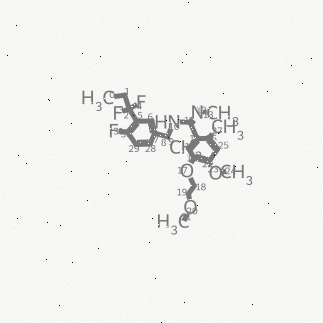 CCC(F)(F)c1cc([C@@H](C)N/C(=N/C)c2cc(OCCOC)c(OC)cc2C)ccc1F